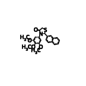 COc1cc(N2C(=O)CSC2c2ccc3ccccc3c2)cc(OC)c1OC